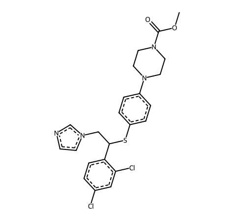 COC(=O)N1CCN(c2ccc(SC(Cn3ccnc3)c3ccc(Cl)cc3Cl)cc2)CC1